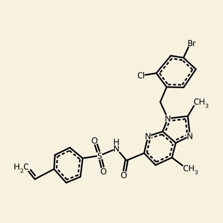 C=Cc1ccc(S(=O)(=O)NC(=O)c2cc(C)c3nc(C)n(Cc4ccc(Br)cc4Cl)c3n2)cc1